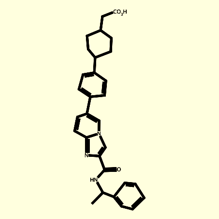 CC(NC(=O)c1cn2cc(-c3ccc(C4CCC(CC(=O)O)CC4)cc3)ccc2n1)c1ccccc1